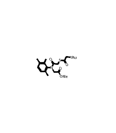 COC(=O)CN(C(=O)CSC(=O)CC(C)(C)C)c1c(C)ccc(C)c1C